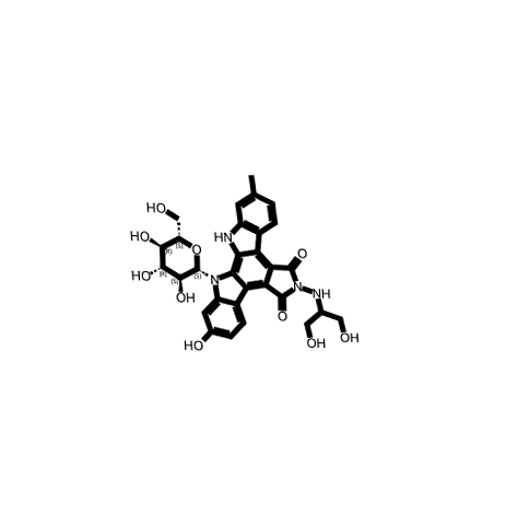 Cc1ccc2c(c1)[nH]c1c2c2c(c3c4ccc(O)cc4n([C@H]4O[C@@H](CO)[C@H](O)[C@@H](O)[C@@H]4O)c13)C(=O)N(NC(CO)CO)C2=O